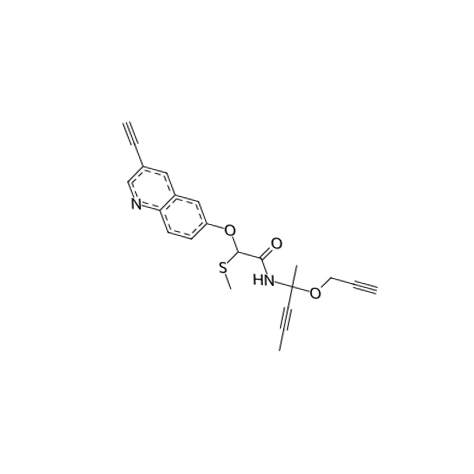 C#CCOC(C)(C#CC)NC(=O)C(Oc1ccc2ncc(C#C)cc2c1)SC